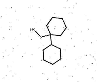 SSC1(C2CCCCC2)CCCCC1